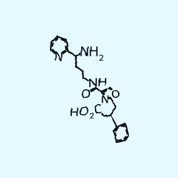 NC(CCCNC(=O)c1coc(CC(CC(=O)O)c2ccccc2)n1)c1ccccn1